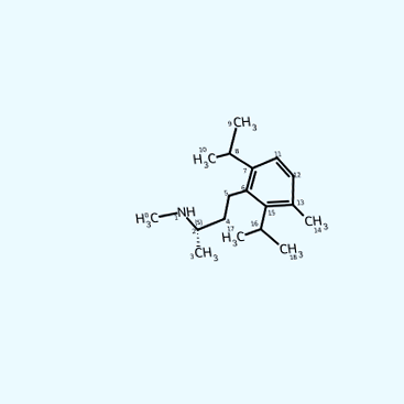 CN[C@@H](C)CCc1c(C(C)C)ccc(C)c1C(C)C